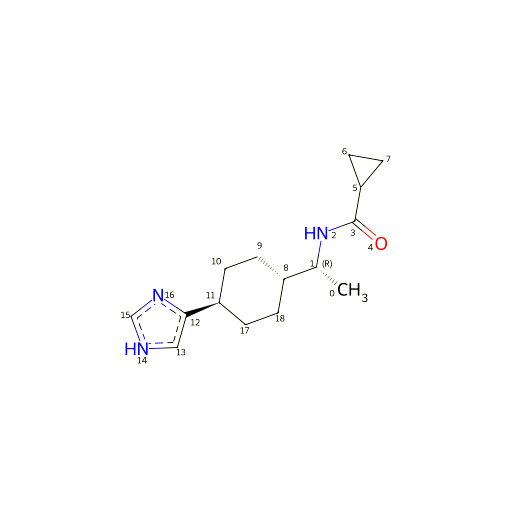 C[C@@H](NC(=O)C1CC1)[C@H]1CC[C@H](c2c[nH]cn2)CC1